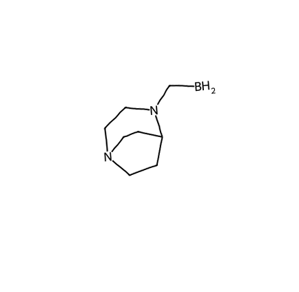 BCN1CCN2CCC1CC2